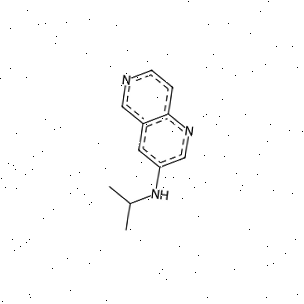 CC(C)Nc1cnc2ccncc2c1